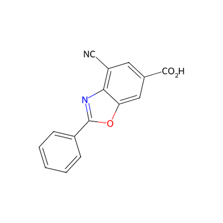 N#Cc1cc(C(=O)O)cc2oc(-c3ccccc3)nc12